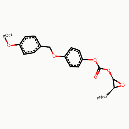 CCCCCCCCC[C@@H]1O[C@@H]1OC(=O)Oc1ccc(OCc2ccc(OCCCCCCCC)cc2)cc1